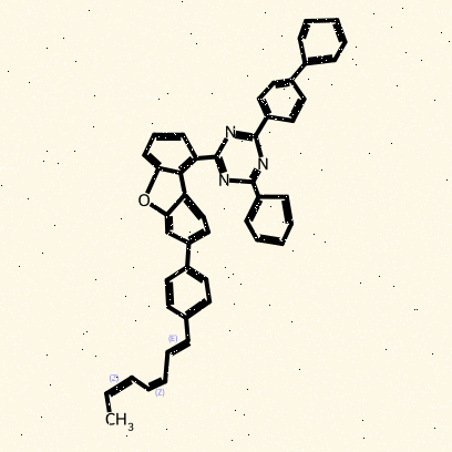 C\C=C/C=C\C=C\c1ccc(-c2ccc3c(c2)oc2cccc(-c4nc(-c5ccccc5)nc(-c5ccc(-c6ccccc6)cc5)n4)c23)cc1